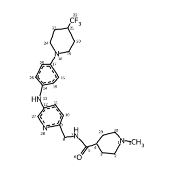 CN1CCC(C(=O)NCc2ccc(Nc3ccc(N4CCC(C(F)(F)F)CC4)cc3)cn2)CC1